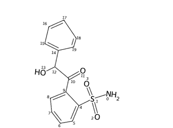 NS(=O)(=O)c1ccccc1C(=O)C(O)c1ccccc1